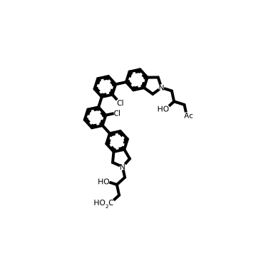 CC(=O)CC(O)CN1Cc2ccc(-c3cccc(-c4cccc(-c5ccc6c(c5)CN(CC(O)CC(=O)O)C6)c4Cl)c3Cl)cc2C1